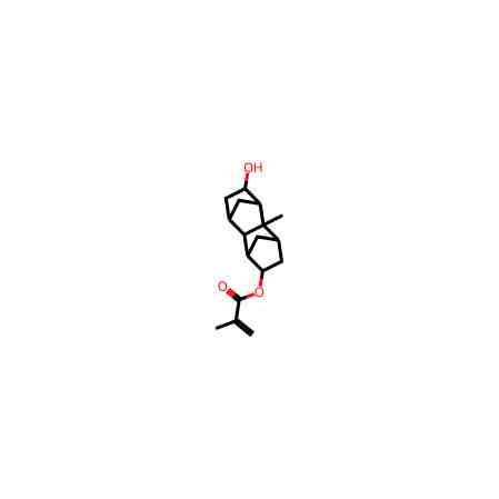 C=C(C)C(=O)OC1CC2CC1C1C3CC(O)C(C3)C21C